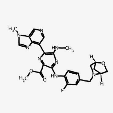 CNc1nc(Nc2ccc(CN3C[C@H]4C[C@@H]3CO4)cc2F)c(C(=O)OC)nc1-c1cncc2c1ncn2C